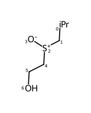 CC(C)C[S+]([O-])CCO